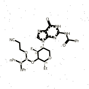 CCCN(CCC)P(OCCC#N)OC1[C@@H](F)[C@H](n2cnc3c(=O)[nH]c(NC(=O)C(C)C)nc32)CO[C@@H]1CC